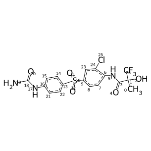 CC(O)(C(=O)Nc1ccc(S(=O)(=O)c2ccc(NC(N)=O)cc2)cc1Cl)C(F)(F)F